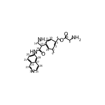 CC1C=C(COC(=O)CN)C=CC(C(CN)C(=O)Nc2ccc3cnccc3c2)=C1